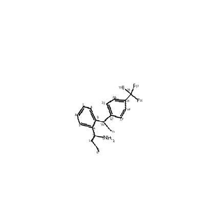 CCC(N)c1ccccc1C(C)c1ccc(C(F)(F)F)cc1